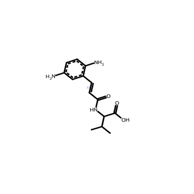 CC(C)C(NC(=O)/C=C/c1cc(N)ccc1N)C(=O)O